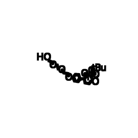 CC(C)(C)OC(=O)N1C(=O)CCC(c2ccc(OCCOCCOCCO)cc2)C1=O